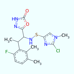 Cc1ccc(F)c(C(C)C(NSc2cn(C)c(Cl)n2)c2n[nH]c(=O)o2)c1C